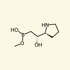 COB(O)C[C@@H](O)[C@@H]1CCCN1